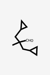 CC(C=O)(CC1CC1)CC1CC1